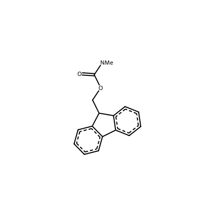 [CH2]NC(=O)OCC1c2ccccc2-c2ccccc21